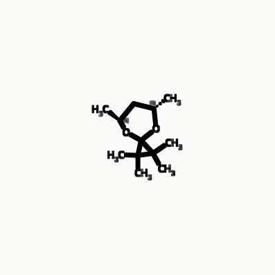 C[C@H]1C[C@H](C)OC2(O1)C(C)(C)C2(C)C